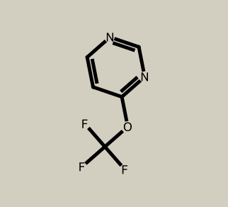 FC(F)(F)Oc1ccncn1